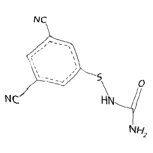 N#Cc1cc(C#N)cc(SNC(N)=O)c1